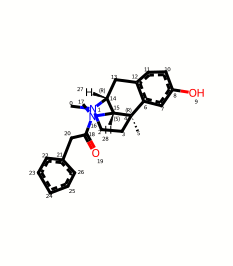 CN1CC[C@]2(C)c3cc(O)ccc3C[C@@H]1[C@H]2N(C)C(=O)Cc1ccccc1